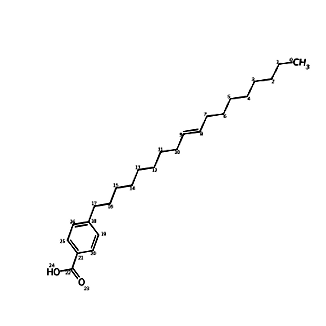 CCCCCCCCC=CCCCCCCCCc1ccc(C(=O)O)cc1